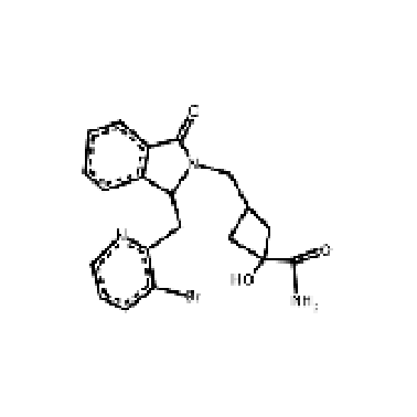 NC(=O)C1(O)CC(CN2C(=O)c3ccccc3C2Cc2ncccc2Br)C1